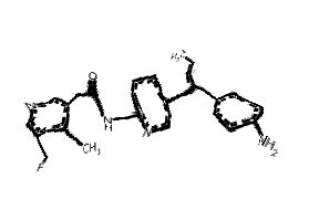 C/C=C(/c1ccc(N)cc1)c1ccc(NC(=O)c2cncc(F)c2C)nc1